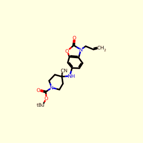 C=CCn1c(=O)oc2cc(NC3(C#N)CCN(C(=O)OC(C)(C)C)CC3)ccc21